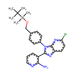 CC(C)(C)[Si](C)(C)OCc1ccc(-n2c(-c3cccnc3N)nc3ccc(Br)nc32)cc1